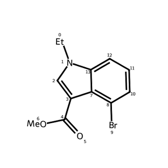 CCn1cc(C(=O)OC)c2c(Br)cccc21